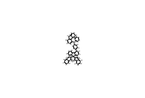 c1ccc(N(c2ccc(-c3cccc4c3-c3ccccc3C43c4ccc5ccccc5c4Oc4c3ccc3ccccc43)cc2)c2cccc3c2-c2ccccc2C3)cc1